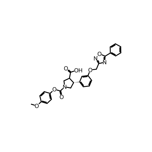 COc1ccc(OC(=O)N2CC(C(=O)O)[C@H](c3cccc(OCc4noc(-c5ccccc5)n4)c3)C2)cc1